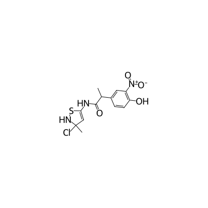 CC(C(=O)NC1=CC(C)(Cl)NS1)c1ccc(O)c([N+](=O)[O-])c1